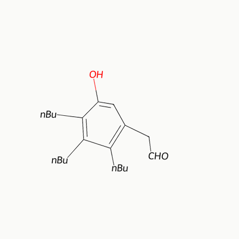 CCCCc1c(O)cc(CC=O)c(CCCC)c1CCCC